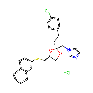 Cl.Clc1ccc(CC[C@]2(Cn3ccnc3)OC[C@@H](CSc3ccc4ccccc4c3)O2)cc1